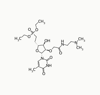 CCOP(=O)(CC[C@H]1O[C@@H](n2cc(C)c(=O)[nH]c2=O)[C@H](OCC(=O)NCCN(C)C)[C@@H]1O)OCC